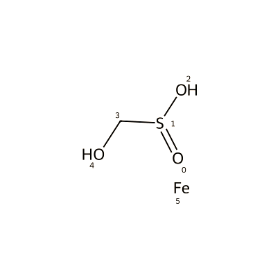 O=S(O)CO.[Fe]